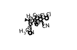 Cc1cccnc1COC1CC(c2cc3c(C)nc4c(F)c(-c5cccc(Cl)c5Cl)c(CCC#N)cc4c3n2C2C3CNC2C3)N(C(=O)C2CC2)C1